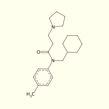 Cc1ccc(N(CC2CCCCC2)C(=O)CCN2CCCC2)cc1